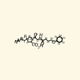 [N-]=[N+]=NCC1(F)CC(C(=O)O)N(C(=O)CNC(=O)CCCOc2ccccc2)C1